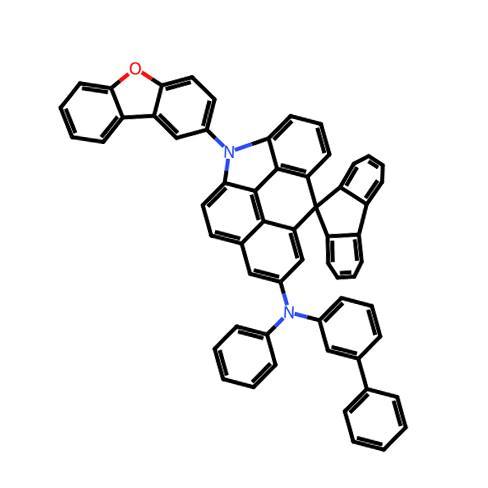 c1ccc(-c2cccc(N(c3ccccc3)c3cc4c5c(ccc6c5c5c(cccc5n6-c5ccc6oc7ccccc7c6c5)C45c4ccccc4-c4ccccc45)c3)c2)cc1